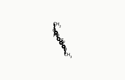 C=CCCCOc1ccc(OCC2CCC(c3ccc(-c4ccc(OCCCC)cc4)c(F)c3F)CC2)c(F)c1